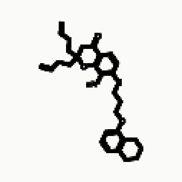 C=CCCC1(CCC=C)CC(=O)c2ccc(OCCCOc3cccc4c3CCCC4)c(CCC)c2O1